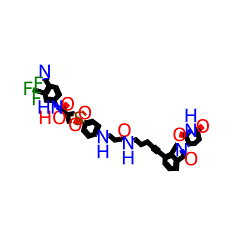 CC(O)(CS(=O)(=O)c1ccc(NCCC(=O)NCCCC#Cc2cccc3c2CN(C2CCC(=O)NC2=O)C3=O)cc1)C(=O)Nc1ccc(C#N)c(C(F)(F)F)c1